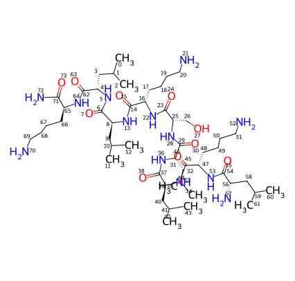 CC(C)C[C@H](NC(=O)[C@H](CC(C)C)NC(=O)[C@H](CCCCN)NC(=O)[C@H](CO)NC(=O)[C@H](CC(C)C)NC(=O)[C@H](CC(C)C)NC(=O)[C@H](CCCCN)NC(=O)[C@@H](N)CC(C)C)C(=O)N[C@@H](CCCCN)C(N)=O